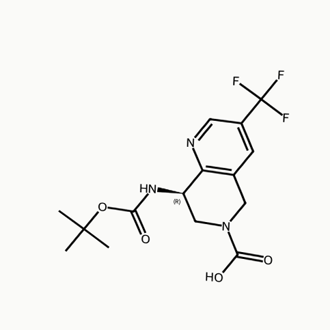 CC(C)(C)OC(=O)N[C@@H]1CN(C(=O)O)Cc2cc(C(F)(F)F)cnc21